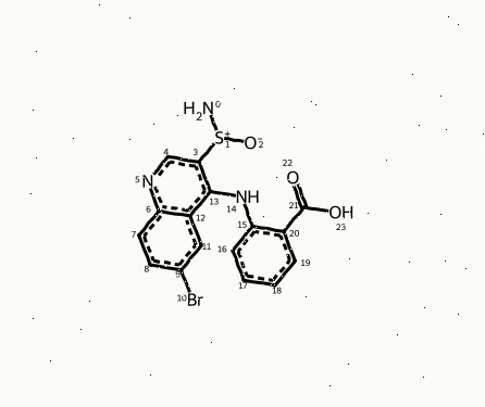 N[S+]([O-])c1cnc2ccc(Br)cc2c1Nc1ccccc1C(=O)O